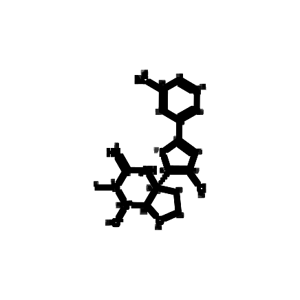 CN1C(=N)N[C@@]2(c3sc(-c4cncc(C#N)c4)cc3Cl)CCOC2[S+]1[O-]